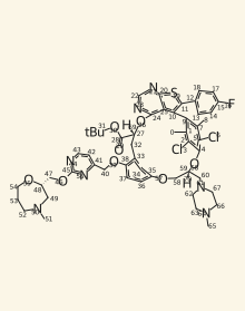 Cc1c(Cl)c2c(Cl)c(C)c1-c1c(-c3ccc(F)cc3)sc3ncnc(c13)O[C@@H](C(=O)OC(C)(C)C)Cc1cc(ccc1OCc1ccnc(OC[C@@H]3CN(C)CCCO3)n1)OC[C@@H](CN1CCN(C)CC1)O2